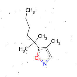 CCCCC(C)(C)c1oncc1C